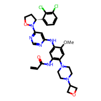 C=CC(=O)Nc1cc(Nc2cc(N3OCC[C@@H]3c3cccc(Cl)c3Cl)ncn2)c(OC)cc1N1CCN(C2COC2)CC1